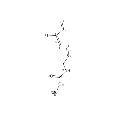 C=C/C(F)=C\C=C/CNC(=O)OC(C)(C)C